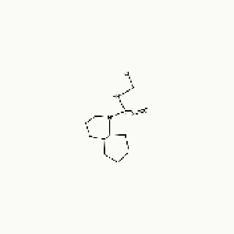 O=S=C(NCCl)N1CCCC2CCCCC21